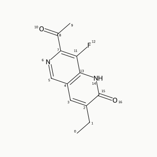 CCc1cc2cnc(C(C)=O)c(F)c2[nH]c1=O